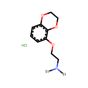 CCN(CC)CCOc1cccc2c1OCCO2.Cl